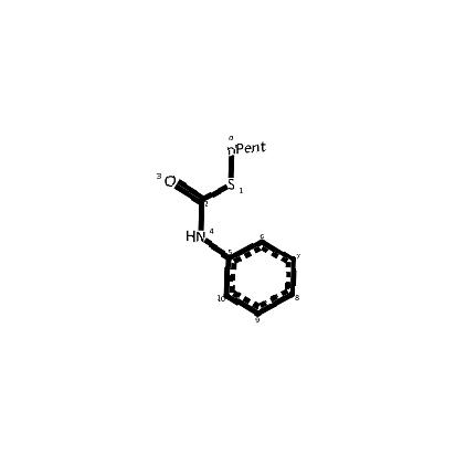 CCCCCSC(=O)Nc1ccccc1